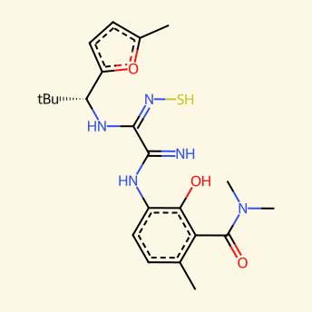 Cc1ccc([C@H](N/C(=N/S)C(=N)Nc2ccc(C)c(C(=O)N(C)C)c2O)C(C)(C)C)o1